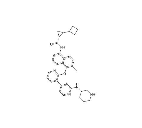 Cc1ccc2c(NC(=O)[C@@H]3CC3C3CCC3)cccc2c1Oc1ncccc1-c1ccnc(N[C@H]2CCCNC2)n1